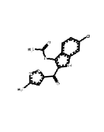 CC(=O)Oc1c(C(=O)c2cc(C)on2)[nH]c2cc(Cl)ccc12